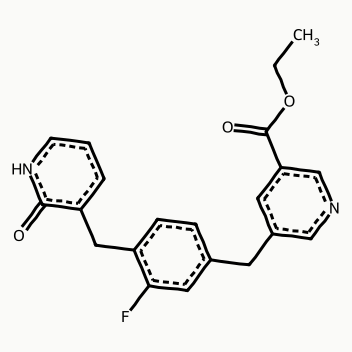 CCOC(=O)c1cncc(Cc2ccc(Cc3ccc[nH]c3=O)c(F)c2)c1